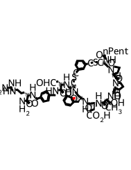 CCCCCC(=O)N[C@H]1CSCc2cccc(c2)CSC[C@@H](C(=O)N[C@@H](CC=O)C(=O)NCc2ccc(C(=O)N[C@@H](CCCNC(=N)N)C(N)=O)cc2)NC(=O)[C@H](Cc2ccccc2)NC(=O)[C@H](CCC(=O)O)NC(=O)[C@H]([C@@H](C)O)NC(=O)[C@@H]2CCCN2C(=O)[C@@H]2CCCN2C1=O